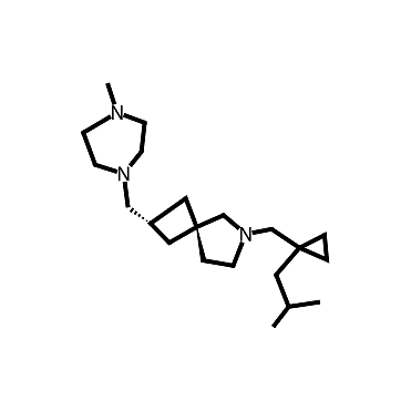 CC(C)CC1(CN2CC[C@]3(C2)C[C@@H](CN2CCN(C)CC2)C3)CC1